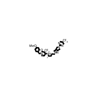 COc1ccc(Cn2ncc(N[C@@H](C)CCCn3cc4c(n3)CN(c3ncc(C(F)(F)F)cn3)C4)c(C(F)(F)F)c2=O)cc1